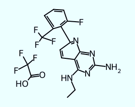 CCNc1nc(N)nc2nc(-c3c(F)cccc3C(F)(F)F)ccc12.O=C(O)C(F)(F)F